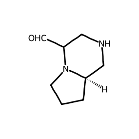 O=CC1CNC[C@H]2CCCN12